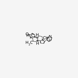 C=C1C[C@H]2C3=CC=C(c4cccnc4)[C@@]3(C)CC[C@@H]2[C@@]2(C)C=CC(=O)C=C12